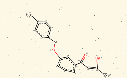 Cc1ccc(COc2cccc(C(=O)/C=C(\O)C(=O)O)c2)cc1